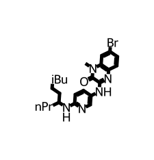 CCCC(CCC(C)CC)Nc1ccc(Nc2nc3ccc(Br)cc3n(C)c2=O)cn1